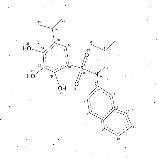 CC(C)CN(c1ccc2ccccc2c1)S(=O)(=O)c1cc(C(C)C)c(O)c(O)c1O